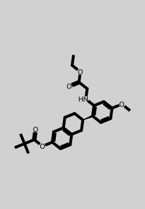 CCOC(=O)CNc1cc(OC)ccc1[C@@H]1CCc2cc(OC(=O)C(C)(C)C)ccc2C1